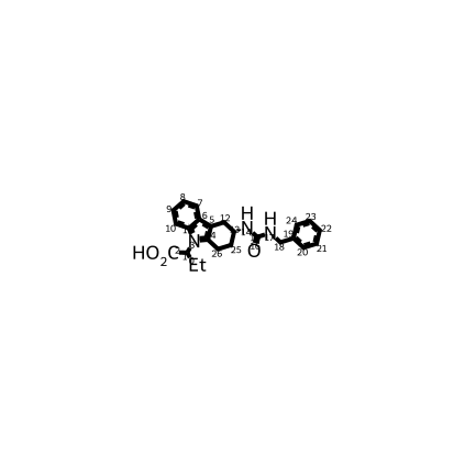 CCC(C(=O)O)n1c2c(c3ccccc31)C[C@H](NC(=O)NCc1ccccc1)CC2